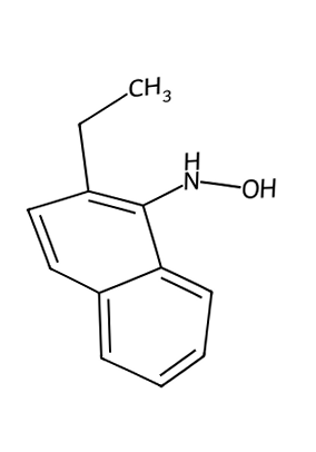 CCc1ccc2ccccc2c1NO